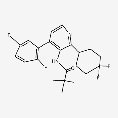 CC(C)(C)C(=O)Nc1c(-c2cc(F)ccc2F)ccnc1C1CCC(F)(F)CC1